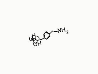 NCCc1ccc(CO[PH](=O)O)cc1